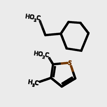 Cc1ccsc1C(=O)O.O=C(O)CC1CCCCC1